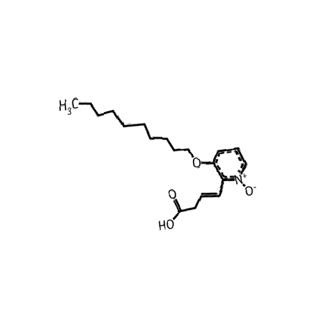 CCCCCCCCCCOc1ccc[n+]([O-])c1/C=C/CC(=O)O